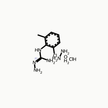 Cc1cccc(Cl)c1N/C(N)=N/N.Cl.NN.O